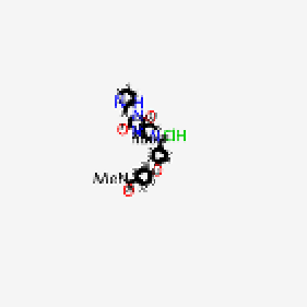 CCCCN1C(=O)[C@H](Cc2ccccn2)NC(=O)C12CCN(Cc1ccc(Oc3ccc(C(=O)NC)cc3)cc1)CC2.Cl